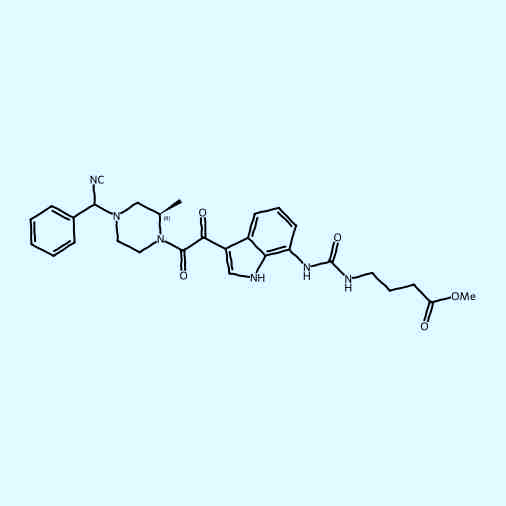 [C-]#[N+]C(c1ccccc1)N1CCN(C(=O)C(=O)c2c[nH]c3c(NC(=O)NCCCC(=O)OC)cccc23)[C@H](C)C1